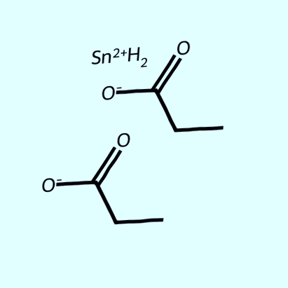 CCC(=O)[O-].CCC(=O)[O-].[SnH2+2]